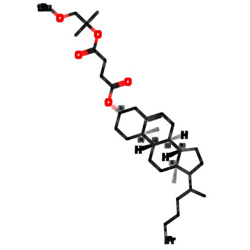 CC(C)CCCC(C)C1CC[C@H]2[C@@H]3CC=C4C[C@@H](OC(=O)CCC(=O)OC(C)(C)COC(C)(C)C)CC[C@]4(C)[C@H]3CC[C@]12C